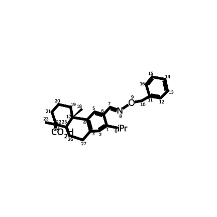 CC(C)c1cc2c(cc1/C=N/OCc1ccccc1)[C@@]1(C)CCCC(C)(C(=O)O)C1CC2